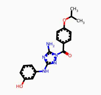 CC(C)Oc1ccc(C(=O)n2nc(Nc3cccc(O)c3)nc2N)cc1